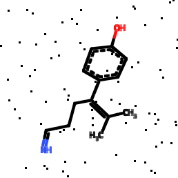 CC(C)=C(CCC=N)c1ccc(O)cc1